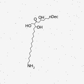 CCCCCCCCCCCCCC(O)CC(=O)C(CO)C(O)CCCCCCCCCCCCCCCN